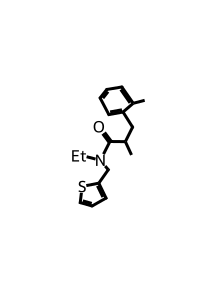 CCN(Cc1cccs1)C(=O)C(C)Cc1ccccc1C